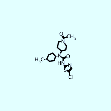 CC(=O)N1CCC(N(C(=O)Nc2ncc(Cl)s2)[C@H]2CC[C@H](C)CC2)CC1